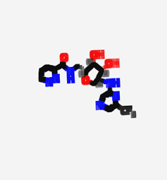 O=C(NC[C@H]1OC[C@H](Nc2cncc(C(F)(F)F)n2)[C@@H](O)[C@H]1O)c1cccnn1